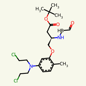 Cc1ccc(N(CCCl)CCCl)cc1OC[C@@H](CC(=O)OC(C)(C)C)NBC=O